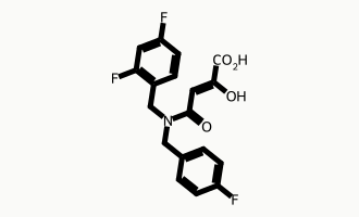 O=C(O)C(O)=CC(=O)N(Cc1ccc(F)cc1)Cc1ccc(F)cc1F